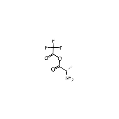 C[C@H](N)C(=O)OC(=O)C(F)(F)F